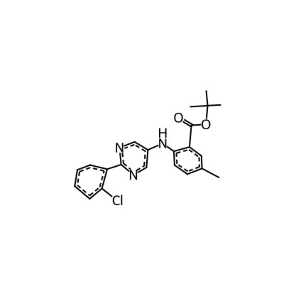 Cc1ccc(Nc2cnc(-c3ccccc3Cl)nc2)c(C(=O)OC(C)(C)C)c1